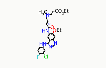 CCOC(=O)CCN(C)C/C=C/C(=O)Nc1cc2c(Nc3ccc(F)c(Cl)c3)ncnc2cc1OCC